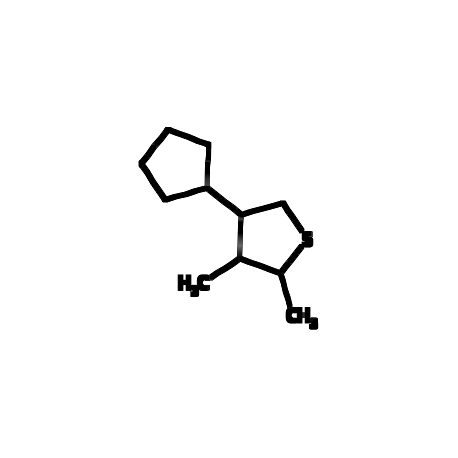 CC1SCC(C2CCCC2)C1C